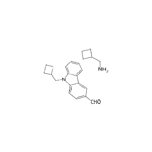 NCC1CCC1.O=Cc1ccc2c(c1)c1ccccc1n2CC1CCC1